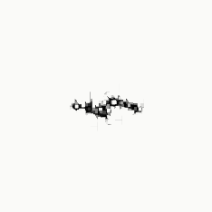 Cc1cc(Nc2cc(-c3ccc[nH]3)n[nH]2)nc(Oc2ccc(NC(=O)Nc3cncs3)cc2C(F)(F)F)n1